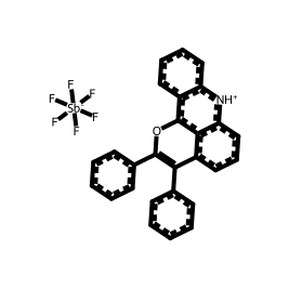 [F][Sb-]([F])([F])([F])([F])[F].c1ccc(C2=C(c3ccccc3)c3cccc4[nH+]c5ccccc5c(c34)O2)cc1